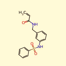 C=CC(=O)NCc1cccc(NS(=O)(=O)c2ccccc2)c1